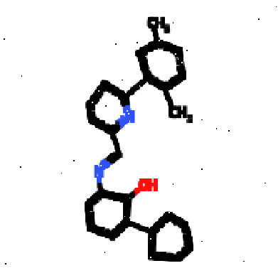 Cc1ccc(C)c(-c2cccc(C=Nc3cccc(-c4ccccc4)c3O)n2)c1